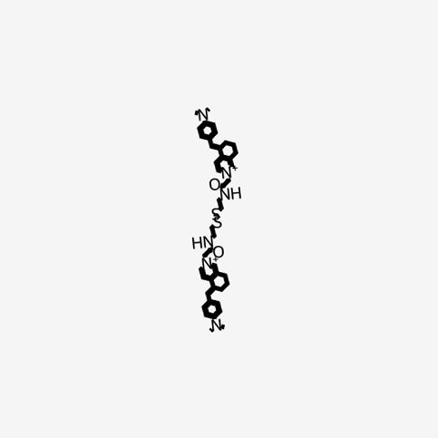 CN(C)c1ccc(/C=C2\CCCc3c[n+](CC(=O)NCCSSCCNC(=O)C[n+]4ccc5c(c4)CCC/C5=C\c4ccc(N(C)C)cc4)ccc32)cc1